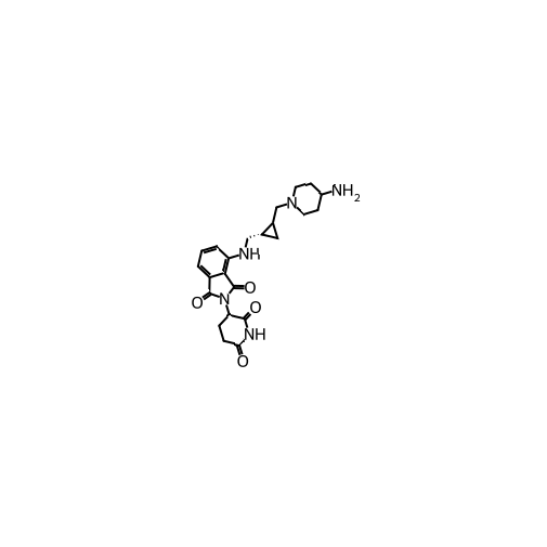 NC1CCN(CC2C[C@@H]2CNc2cccc3c2C(=O)N(C2CCC(=O)NC2=O)C3=O)CC1